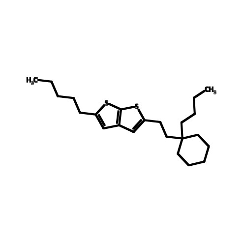 CCCCCc1cc2cc(CCC3(CCCC)CCCCC3)sc2s1